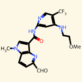 COCCNc1cc(NC(=O)c2cn(C)c3ccc(C=O)nc23)ncc1C(F)(F)F